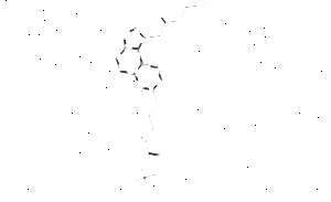 CCOC(=O)Cc1coc2ccc3nc(OCCNC(=O)OC(C)(C)C)ccc3c12